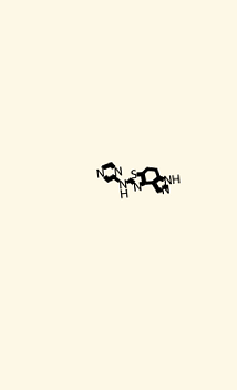 c1cnc(Nc2nc3c(s2)CCc2[nH]ncc2-3)cn1